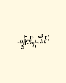 COC(=O)C1CN(C(=O)CCc2ccccc2)C(=O)N1